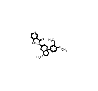 COc1ccc(C23CC=C(OC(=O)c4cnccc4C)CC2N(C)CC3)cc1OC